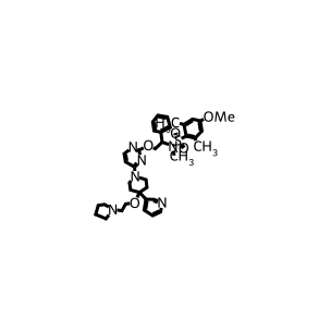 COc1cc(C)c(S(=O)(=O)N(C)C(COc2nccc(N3CCC(OCCN4CCCC4)(c4cccnc4)CC3)n2)c2ccccc2)c(C)c1